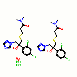 CN(C)C(=O)CCSCC(O)(Cn1cncn1)c1ccc(Cl)cc1Cl.CN(C)C(=O)CCSCC(O)(Cn1cncn1)c1ccc(Cl)cc1Cl.Cl.Cl.O